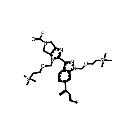 C=C(/C=C/F)c1ccc2c(-c3nc4c(n3COCC[Si](C)(C)C)CN(C(=O)CC)C4)nn(COCC[Si](C)(C)C)c2c1